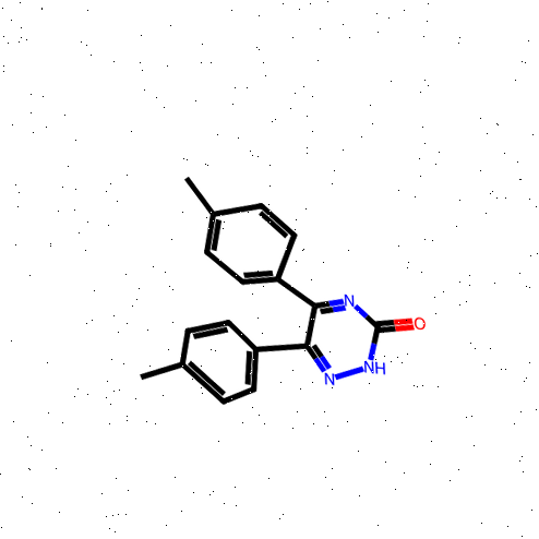 Cc1ccc(-c2n[nH]c(=O)nc2-c2ccc(C)cc2)cc1